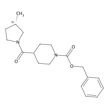 C[C@H]1CCN(C(=O)C2CCN(C(=O)OCc3ccccc3)CC2)C1